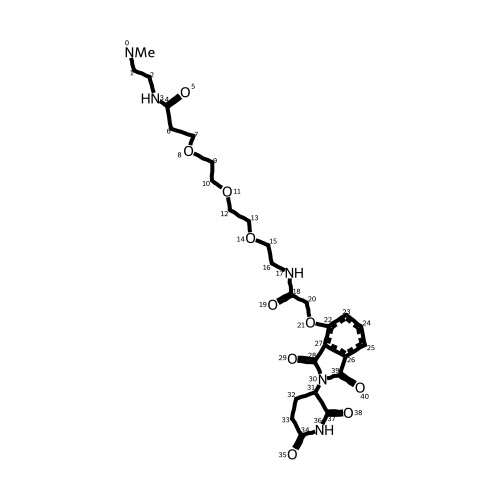 CNCCNC(=O)CCOCCOCCOCCNC(=O)COc1cccc2c1C(=O)N(C1CCC(=O)NC1=O)C2=O